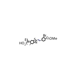 CCN(C(=O)O)c1cc2sc(/C=C/c3ccc(OCOC)c(Br)c3)nc2cc1C